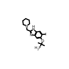 CC(C)(P)Oc1cc2nc(CN3CCCCC3)[nH]c2cc1I